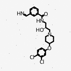 N=Cc1cccc(C(=O)NC[C@@H](O)CN2CCC(Oc3ccc(Cl)c(Cl)c3)CC2)c1